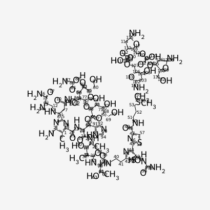 Cc1c(N)nc([C@H](CC(N)=O)NC[C@H](N)C(N)=O)nc1C(=O)N[C@H](C(=O)N[C@H](C)[C@@H](O)[C@H](C)C(=O)N[C@H](C(=O)NCCc1nc(-c2nc(C(=O)NCCC[S+](C)C)cs2)cs1)[C@@H](C)O)[C@@H](O[C@@H]1O[C@@H](CO)[C@H](O)[C@@H](O)[C@@H]1O[C@@H]1O[C@@H](CO)[C@H](O)[C@@H](OC(N)=O)[C@@H]1O)c1cnc[nH]1.NC(=O)NO.NC1CC(O)C(COP(=O)(O)OC2CC(N)OC2COP(=O)(O)OC2CC(N)OC2CO)O1